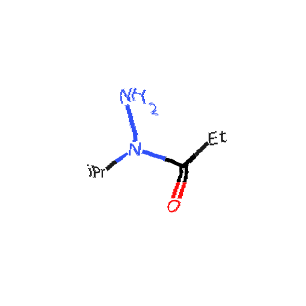 CCC(=O)N(N)C(C)C